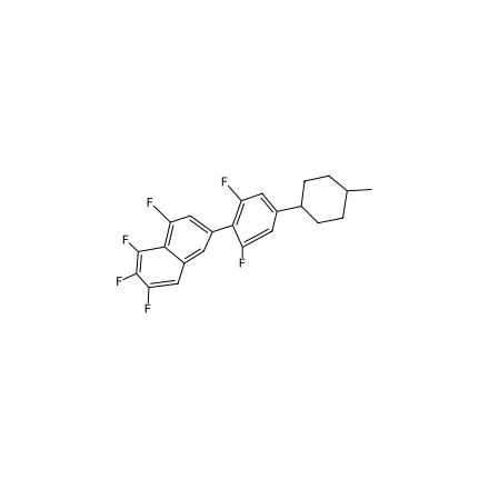 CC1CCC(c2cc(F)c(-c3cc(F)c4c(F)c(F)c(F)cc4c3)c(F)c2)CC1